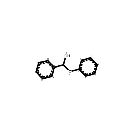 OC(Oc1ccccc1)c1ccccc1